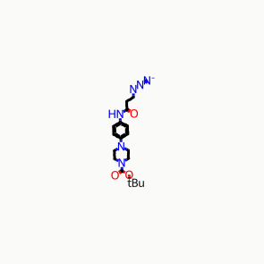 CC(C)(C)OC(=O)N1CCN(c2ccc(NC(=O)CCN=[N+]=[N-])cc2)CC1